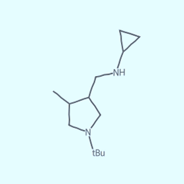 CC1CN(C(C)(C)C)CC1CNC1CC1